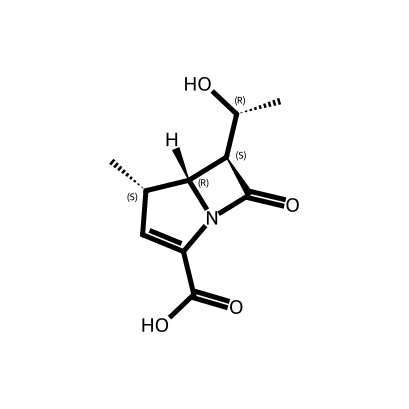 C[C@@H](O)[C@H]1C(=O)N2C(C(=O)O)=C[C@H](C)[C@H]12